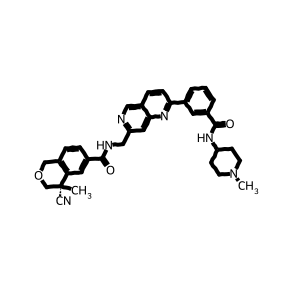 CN1CCC(NC(=O)c2cccc(-c3ccc4cnc(CNC(=O)c5ccc6c(c5)[C@](C)(C#N)COC6)cc4n3)c2)CC1